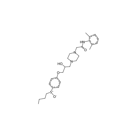 CCCC[S+]([O-])c1ccc(OCC(O)CN2CCN(CC(=O)Nc3c(C)cccc3C)CC2)cc1